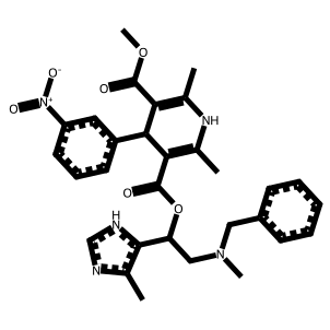 COC(=O)C1=C(C)NC(C)=C(C(=O)OC(CN(C)Cc2ccccc2)c2[nH]cnc2C)C1c1cccc([N+](=O)[O-])c1